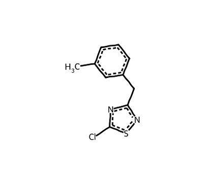 Cc1cccc(Cc2nsc(Cl)n2)c1